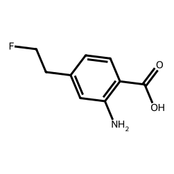 Nc1cc(CCF)ccc1C(=O)O